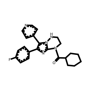 O=C(C1CCCCC1)N1CCNn2c1nc(-c1ccc(F)cc1)c2-c1ccncc1